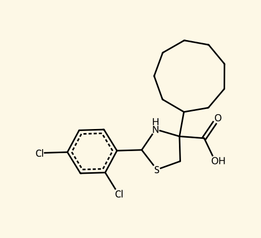 O=C(O)C1(C2CCCCCCCC2)CSC(c2ccc(Cl)cc2Cl)N1